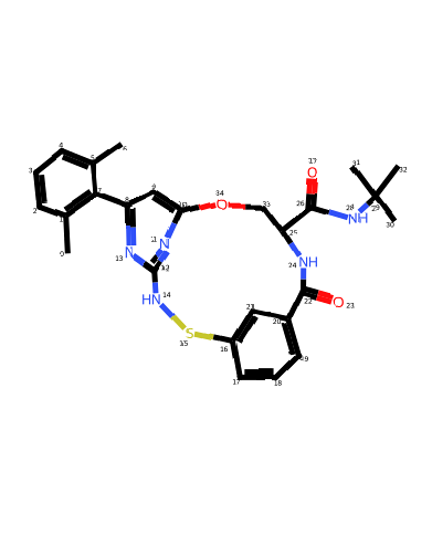 Cc1cccc(C)c1-c1cc2nc(n1)NSc1cccc(c1)C(=O)NC(C(=O)NC(C)(C)C)CO2